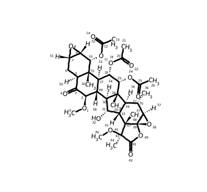 CO[C@H]1C(=O)[C@H]2C[C@@H]3O[C@@H]3[C@H](OC(C)=O)[C@]2(C)[C@H]2[C@H](OC(C)=O)[C@H](OC(C)=O)[C@@]3(C)[C@@H]([C@@H](O)[C@@H]4[C@@H]3[C@H](C)[C@H]3O[C@]35OC(=O)[C@@](C)(OC)[C@]45C)[C@@H]21